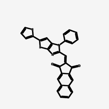 O=C1C(=Cc2nc3sc(-c4cccs4)cc3n2-c2ccccc2)C(=O)c2cc3ccccc3cc21